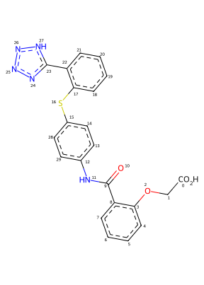 O=C(O)COc1ccccc1C(=O)Nc1ccc(Sc2ccccc2-c2nnn[nH]2)cc1